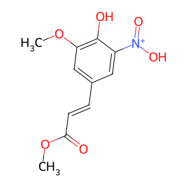 COC(=O)/C=C/c1cc(OC)c(O)c([N+](=O)O)c1